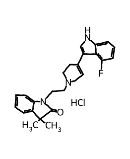 CC1(C)C(=O)N(CCN2CC=C(c3c[nH]c4cccc(F)c34)CC2)c2ccccc21.Cl